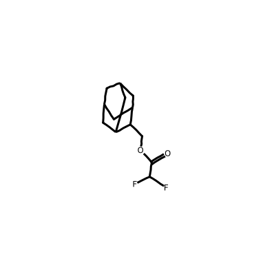 O=C(OCC1C2CC3CC(C2)CC1C3)C(F)F